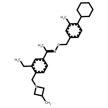 CCc1cc(/C(C)=N/OCc2ccc(C3CCCCC3)c(C)c2)ccc1CN1CC(C)C1